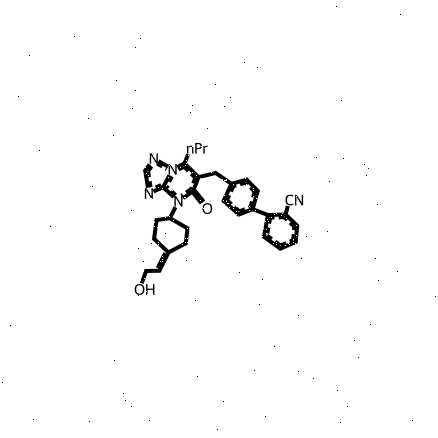 CCCc1c(Cc2ccc(-c3ccccc3C#N)cc2)c(=O)n(C2CCC(=CCO)CC2)c2ncnn12